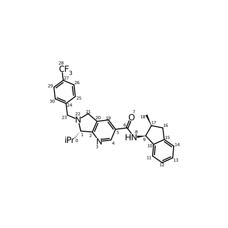 CC(C)[C@H]1c2ncc(C(=O)N[C@@H]3c4ccccc4C[C@@H]3C)cc2CN1Cc1ccc(C(F)(F)F)cc1